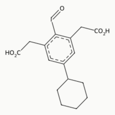 O=Ic1c(CC(=O)O)cc(C2CCCCC2)cc1CC(=O)O